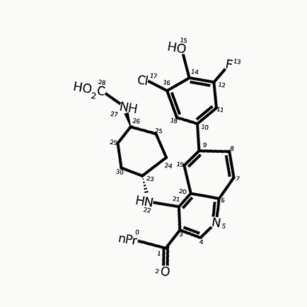 CCCC(=O)c1cnc2ccc(-c3cc(F)c(O)c(Cl)c3)cc2c1N[C@H]1CC[C@H](NC(=O)O)CC1